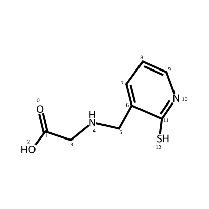 O=C(O)CNCc1cccnc1S